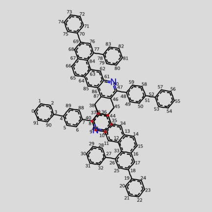 c1ccc(-c2ccc(-c3nc4cc5c(ccc6cc(-c7ccccc7)cc(-c7ccccc7)c65)cc4c4c3C3c5ccccc5C4c4c(-c5ccc(-c6ccccc6)cc5)nc5cc6c(ccc7cc(-c8ccccc8)cc(-c8ccccc8)c76)cc5c43)cc2)cc1